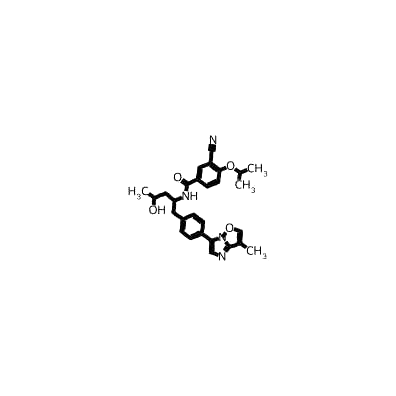 Cc1con2c(-c3ccc(CC(CC(C)O)NC(=O)c4ccc(OC(C)C)c(C#N)c4)cc3)cnc12